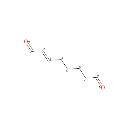 O=C/C=C/CCCCC=O